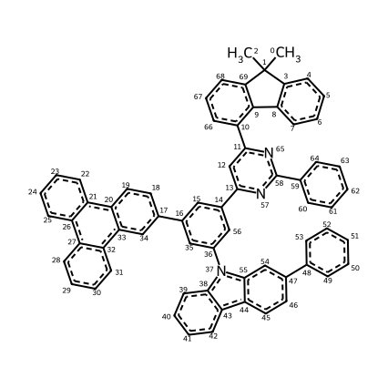 CC1(C)c2ccccc2-c2c(-c3cc(-c4cc(-c5ccc6c7ccccc7c7ccccc7c6c5)cc(-n5c6ccccc6c6ccc(-c7ccccc7)cc65)c4)nc(-c4ccccc4)n3)cccc21